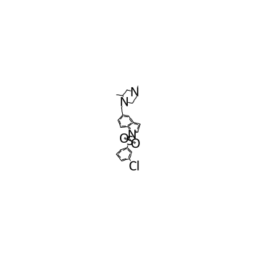 CC1CN(C)CCN1Cc1ccc2c(ccn2S(=O)(=O)c2cccc(Cl)c2)c1